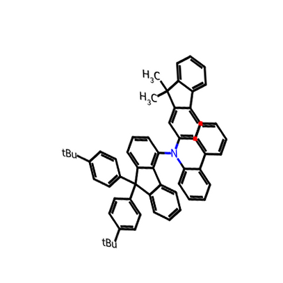 CC(C)(C)c1ccc(C2(c3ccc(C(C)(C)C)cc3)c3ccccc3-c3c(N(c4ccc5c(c4)C(C)(C)c4ccccc4-5)c4ccccc4-c4ccccc4)cccc32)cc1